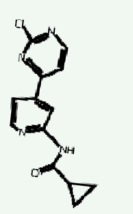 O=C(Nc1cc(-c2ccnc(Cl)n2)ccn1)C1CC1